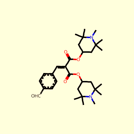 CN1C(C)(C)CC(OC(=O)C(=Cc2ccc(C=O)cc2)C(=O)OC2CC(C)(C)N(C)C(C)(C)C2)CC1(C)C